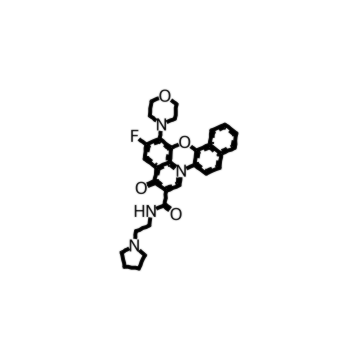 O=C(NCCN1CCCC1)c1cn2c3c(c(N4CCOCC4)c(F)cc3c1=O)Oc1c-2ccc2ccccc12